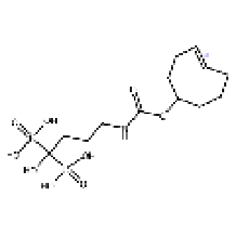 O=C(NCCCC(O)(P(=O)(O)O)P(=O)(O)O)OC1CC/C=C/CCC1